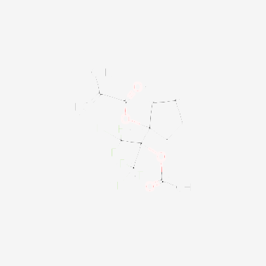 C=C(C)C(=O)OC1(C(OC(C)=O)(C(F)(F)F)C(F)(F)F)CCCC1